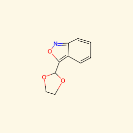 c1ccc2c(C3OCCO3)onc2c1